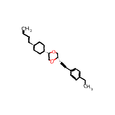 C=CCC[C@H]1CC[C@H](C2CO[C@@H](C#Cc3ccc(CC)cc3)CO2)CC1